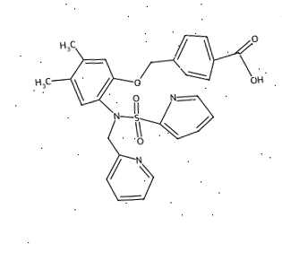 Cc1cc(OCc2ccc(C(=O)O)cc2)c(N(Cc2ccccn2)S(=O)(=O)c2ccccn2)cc1C